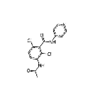 CC(=O)Nc1ccc(Cl)c(C(=O)Nc2ccncc2)c1Cl